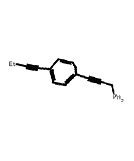 CCC#Cc1ccc(C#CCP)cc1